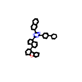 C1=CC(c2ccc(-c3nc(-c4ccc5ccccc5c4)nc(-c4cccc5c(-c6cccc7oc8ccccc8c67)cccc45)n3)cc2)=CCC1